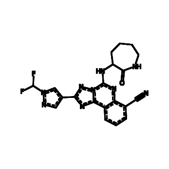 N#Cc1cccc2c1nc(NC1CCCCNC1=O)n1nc(-c3cnn(C(F)F)c3)nc21